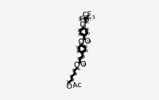 CC(=O)OCCCCCCOC(=O)/C=C/c1ccc(OC(=O)c2ccc(OCC(F)(F)C(F)(F)F)cc2)cc1